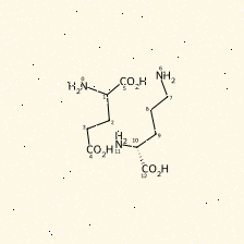 NC(CCC(=O)O)C(=O)O.NCCC[C@@H](N)C(=O)O